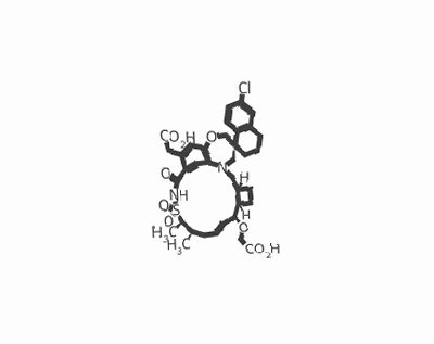 C[C@@H]1[C@@H](C)C/C=C/[C@H](OCC(=O)O)[C@@H]2CC[C@H]2CN2C[C@@]3(CCCc4cc(Cl)ccc43)COc3cc(CC(=O)O)c(cc32)C(=O)NS1(=O)=O